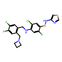 Fc1cc(CNc2cc(F)c(SNc3cscn3)cc2Cl)c(CN2CCC2)cc1F